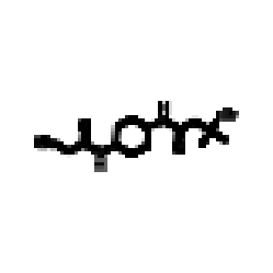 CCCC(C)(C)CC(=O)N[C@H]1CC[C@@H](NC(=O)CC(C)(C)C)CC1